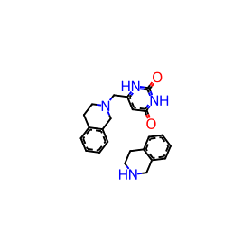 O=c1cc(CN2CCc3ccccc3C2)[nH]c(=O)[nH]1.c1ccc2c(c1)CCNC2